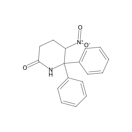 O=C1CCC([N+](=O)[O-])C(c2ccccc2)(c2ccccc2)N1